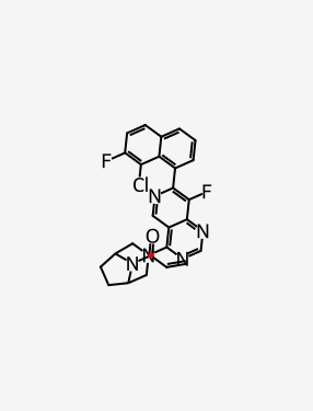 C=CC(=O)N1C2CCC1CN(c1ncnc3c(F)c(-c4cccc5ccc(F)c(Cl)c45)ncc13)C2